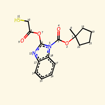 CC1(OC(=O)n2c(OC(=O)CS)nc3ccccc32)CCCC1